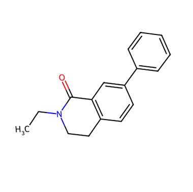 CCN1CCc2ccc(-c3ccccc3)cc2C1=O